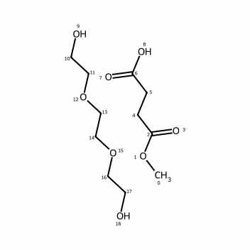 COC(=O)CCC(=O)O.OCCOCCOCCO